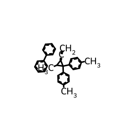 C=C=C1C(C)C1(c1ccc(C)cc1)c1ccc(C)cc1.c1ccc(-c2ccccc2)cc1